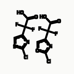 O=C(O)C(F)(F)c1coc(Cl)n1.O=C(O)C(F)(F)c1csc(Cl)n1